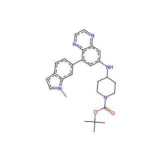 Cn1ccc2ccc(-c3cc(NC4CCN(C(=O)OC(C)(C)C)CC4)cc4nccnc34)cc21